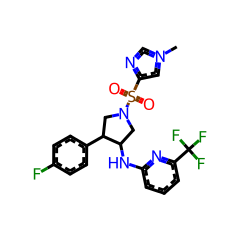 Cn1cnc(S(=O)(=O)N2CC(Nc3cccc(C(F)(F)F)n3)C(c3ccc(F)cc3)C2)c1